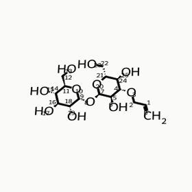 C=CCO[C@@H]1[C@@H](O)[C@@H](O[C@H]2O[C@H](CO)[C@@H](O)[C@H](O)[C@H]2O)O[C@H](CO)[C@H]1O